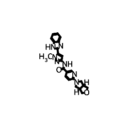 Cn1nc(NC(=O)c2ccc(N3C[C@H]4COC[C@H]4C3)nc2)cc1-c1nc2ccccc2[nH]1